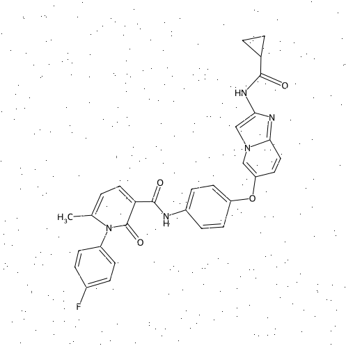 Cc1ccc(C(=O)Nc2ccc(Oc3ccc4nc(NC(=O)C5CC5)cn4c3)cc2)c(=O)n1-c1ccc(F)cc1